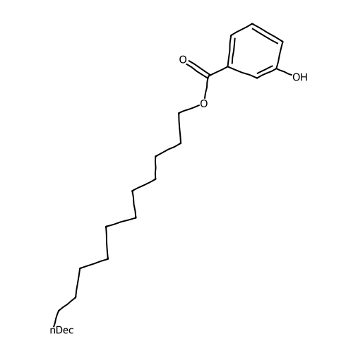 CCCCCCCCCCCCCCCCCCCCCOC(=O)c1cccc(O)c1